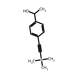 CC(O)c1ccc(C#CS(C)(C)C)cc1